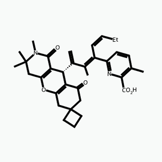 C=C(/C(C)=C(\C=C/CC)c1ccc(C)c(C(=O)O)n1)[C@@H]1C2=C(CC3(CCC3)CC2=O)OC2=C1C(=O)N(C)C(C)(C)C2